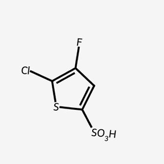 O=S(=O)(O)c1cc(F)c(Cl)s1